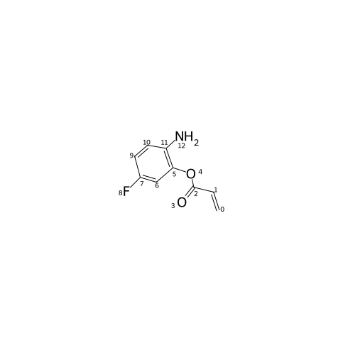 C=CC(=O)Oc1cc(F)ccc1N